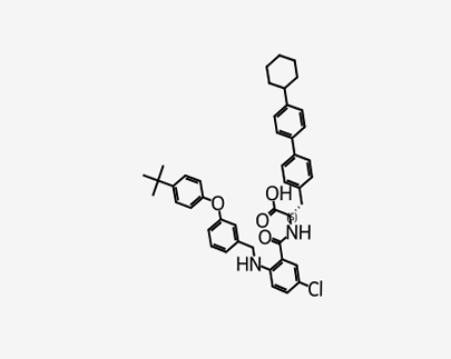 CC(C)(C)c1ccc(Oc2cccc(CNc3ccc(Cl)cc3C(=O)N[C@@H](Cc3ccc(-c4ccc(C5CCCCC5)cc4)cc3)C(=O)O)c2)cc1